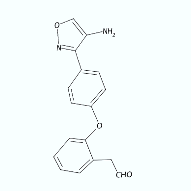 Nc1conc1-c1ccc(Oc2ccccc2CC=O)cc1